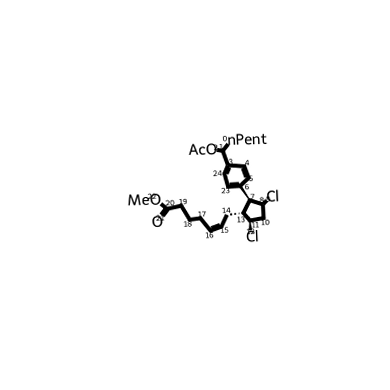 CCCCCC(OC(C)=O)c1ccc([C@H]2C(Cl)C[C@@H](Cl)[C@@H]2C/C=C\CCCC(=O)OC)cc1